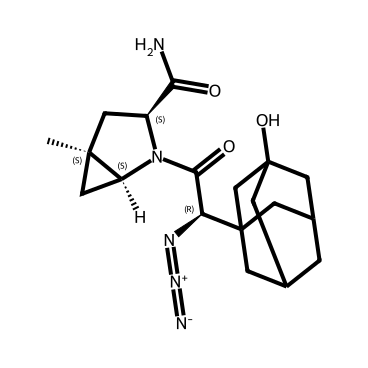 C[C@@]12C[C@@H]1N(C(=O)[C@H](N=[N+]=[N-])C13CC4CC(CC(O)(C4)C1)C3)[C@H](C(N)=O)C2